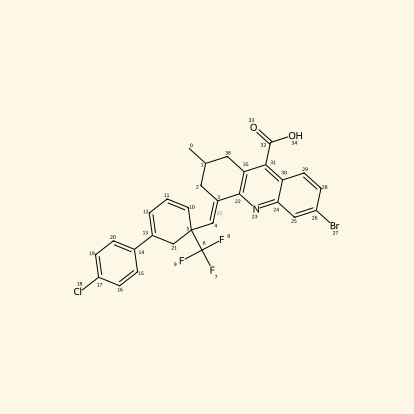 CC1C/C(=C\C2(C(F)(F)F)C=CC=C(c3ccc(Cl)cc3)C2)c2nc3cc(Br)ccc3c(C(=O)O)c2C1